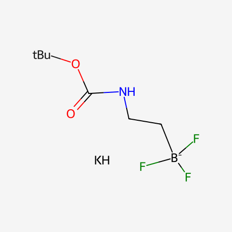 CC(C)(C)OC(=O)NCC[B-](F)(F)F.[KH]